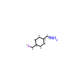 NCC1CCC(CI)CC1